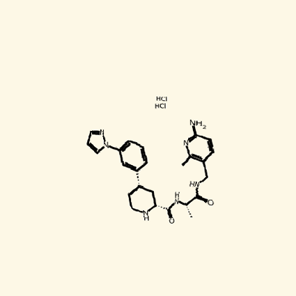 Cc1nc(N)ccc1CNC(=O)[C@H](C)NC(=O)[C@H]1C[C@@H](c2cccc(-n3cccn3)c2)CCN1.Cl.Cl